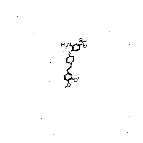 COc1ccc(CCN2CCC(Sc3ccc(S(C)(=O)=O)cc3N)CC2)cc1OC